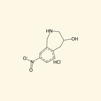 Cl.O=[N+]([O-])c1ccc2c(c1)CNCC(O)C2